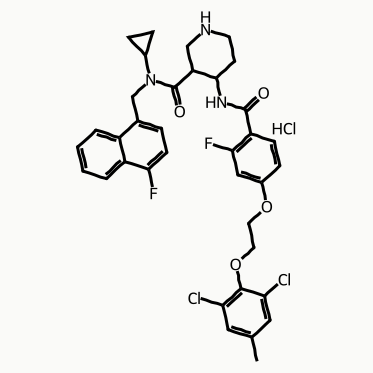 Cc1cc(Cl)c(OCCOc2ccc(C(=O)NC3CCNCC3C(=O)N(Cc3ccc(F)c4ccccc34)C3CC3)c(F)c2)c(Cl)c1.Cl